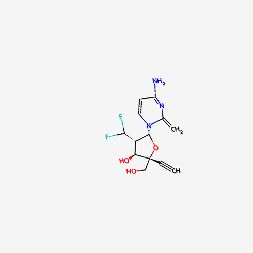 C#C[C@]1(CO)O[C@@H](N2C=CC(N)=NC2=C)[C@@H](C(F)F)[C@@H]1O